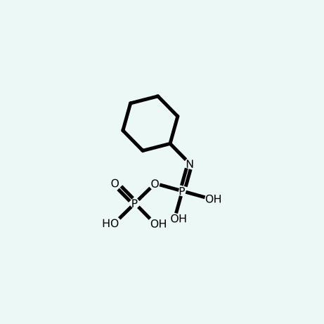 O=P(O)(O)OP(O)(O)=NC1CCCCC1